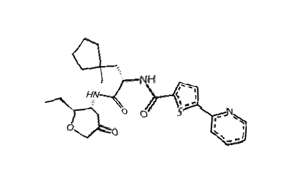 CC[C@@H]1OCC(=O)[C@H]1NC(=O)[C@H](CC1(C)CCCC1)NC(=O)c1ccc(-c2ccccn2)s1